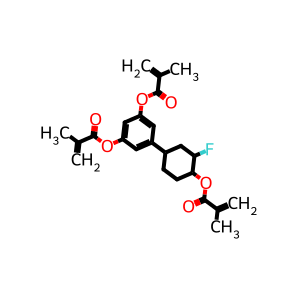 C=C(C)C(=O)Oc1cc(OC(=O)C(=C)C)cc(C2CCC(OC(=O)C(=C)C)C(F)C2)c1